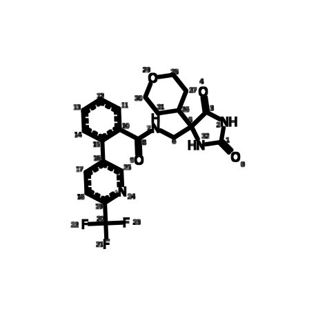 O=C1NC(=O)C(CNC(=O)c2ccccc2-c2ccc(C(F)(F)F)nc2)(C2CCOCC2)N1